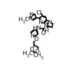 Cn1cc(-c2nc3c(cc2Cl)N2CC[C@@H](C2)N3C(=O)Nc2ccnc(OCC3COC(C)(C)O3)c2)cn1